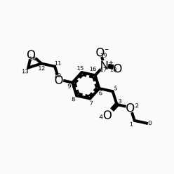 CCOC(=O)Cc1ccc(OCC2CO2)cc1[N+](=O)[O-]